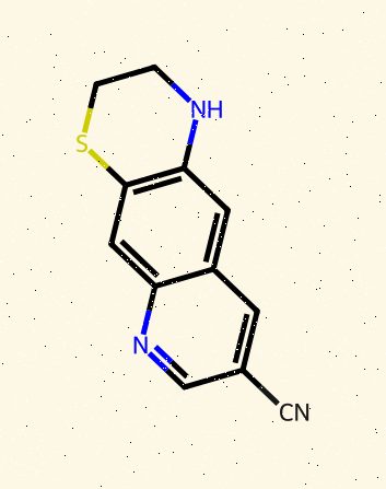 N#Cc1cnc2cc3c(cc2c1)NCCS3